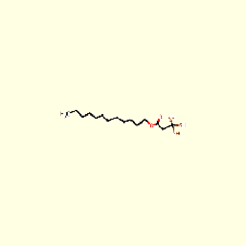 CCCCCCCCCCCCOC(=O)CC(S)(S)S